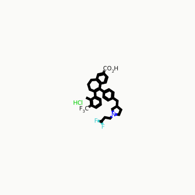 Cc1c(C2=C(c3ccc(CC4CCN(CCC(F)F)C4)cc3)c3ccc(C(=O)O)cc3CCC2)cccc1C(F)(F)F.Cl